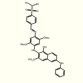 CCN(CC)S(=O)(=O)c1ccc(/N=N/c2cc(OC)c(Nc3c(S(=O)(=O)O)cc4cc(Nc5ccccc5)ccc4c3O)cc2OC)cc1